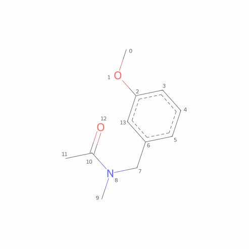 COc1cccc(CN(C)C(C)=O)c1